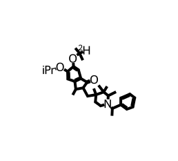 [2H]C(C)(C)Oc1cc2c(cc1OC(C)C)C(C)C(CC1(C)CCN(C(C)c3ccccc3)C(C)C1(C)C)C2=O